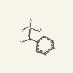 ClC(c1ccccc1)[Si](Cl)(Cl)Cl